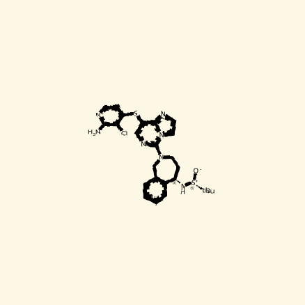 CC(C)(C)[S@@+]([O-])N[C@H]1CCN(c2ncc(Sc3ccnc(N)c3Cl)c3nccn23)Cc2ccccc21